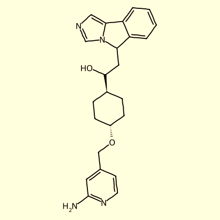 Nc1cc(CO[C@H]2CC[C@H](C(O)CC3c4ccccc4-c4cncn43)CC2)ccn1